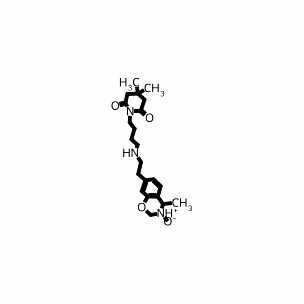 CC1c2ccc(CCNCCCCN3C(=O)CC(C)(C)CC3=O)cc2OC[NH+]1[O-]